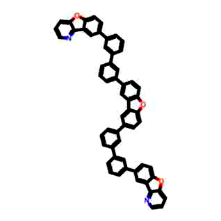 c1cc(-c2cccc(-c3ccc4oc5cccnc5c4c3)c2)cc(-c2ccc3oc4ccc(-c5cccc(-c6cccc(-c7ccc8oc9cccnc9c8c7)c6)c5)cc4c3c2)c1